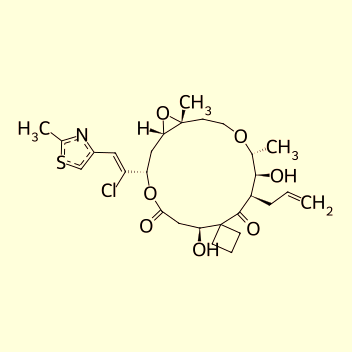 C=CC[C@H]1C(=O)C2(CCC2)[C@@H](O)CC(=O)O[C@H](C(Cl)=Cc2csc(C)n2)C[C@@H]2O[C@]2(C)CCO[C@H](C)[C@H]1O